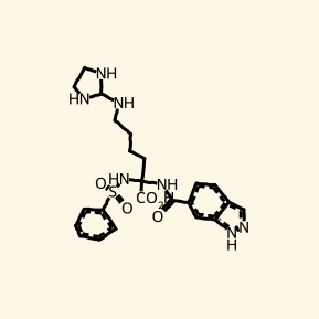 O=C(NC(CCCCNC1NCCN1)(NS(=O)(=O)c1ccccc1)C(=O)O)c1ccc2cn[nH]c2c1